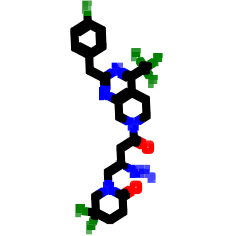 N[C@H](CC(=O)N1CCc2c(nc(Cc3ccc(F)cc3)nc2C(F)(F)F)C1)CN1CC(F)(F)CCC1=O